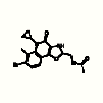 CC(=O)OCC1Nc2c(c3ccc(Br)c(C)c3n(C3CC3)c2=O)O1